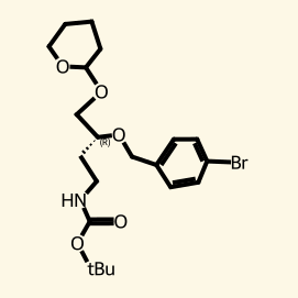 CC(C)(C)OC(=O)NCC[C@H](COC1CCCCO1)OCc1ccc(Br)cc1